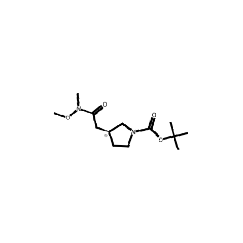 CON(C)C(=O)C[C@@H]1CCN(C(=O)OC(C)(C)C)C1